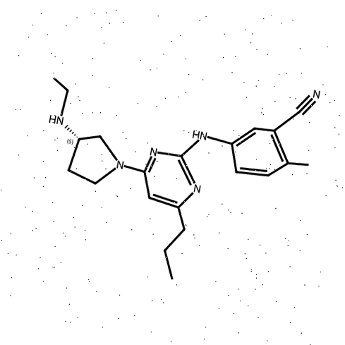 CCCc1cc(N2CC[C@H](NCC)C2)nc(Nc2ccc(C)c(C#N)c2)n1